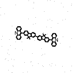 CC1(C)c2cc(-c3ccc4c(c3)C(C)(C)c3cc(-c5c6ccccc6nc6ccccc56)ccc3-4)ccc2-c2ccc(-c3c4ccccc4nc4ccccc34)cc21